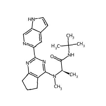 C[C@H](C(=O)NC(C)(C)C)N(C)c1nc(-c2cc3cc[nH]c3cn2)nc2c1CCC2